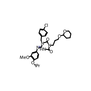 COc1cc(/N=c2\[nH]c(=O)n(CCCOC3CCCCO3)c(=O)n2Cc2ccc(Cl)cc2)ccc1OC(C)C